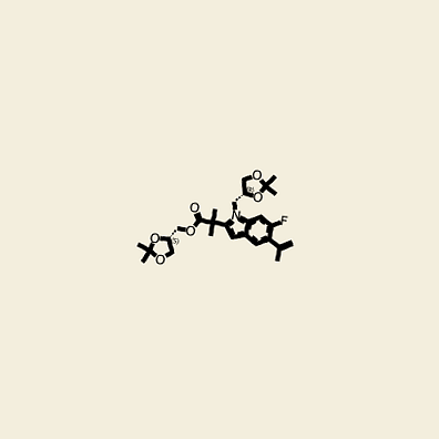 C=C(C)c1cc2cc(C(C)(C)C(=O)OC[C@@H]3COC(C)(C)O3)n(C[C@@H]3COC(C)(C)O3)c2cc1F